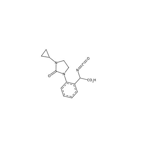 O=C=NC(C(=O)O)c1ccccc1N1CCN(C2CC2)C1=O